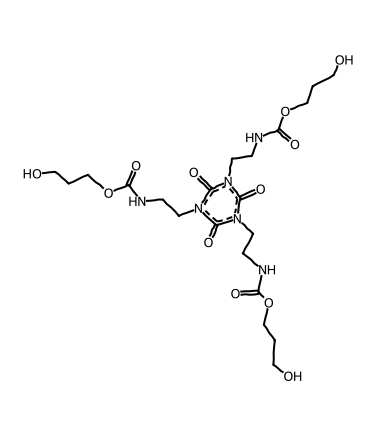 O=C(NCCn1c(=O)n(CCNC(=O)OCCCO)c(=O)n(CCNC(=O)OCCCO)c1=O)OCCCO